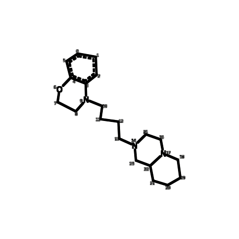 c1ccc2c(c1)OCCN2CCCCN1CCN2CCCCC2C1